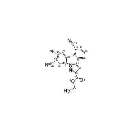 CCOC(=O)c1cc(-c2cccc(C#N)c2)n(-c2ccc(F)c(C#N)c2)n1